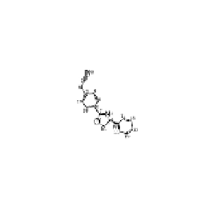 N#CCc1ccc(C2=N[C@@H](c3ccccc3)CO2)cc1